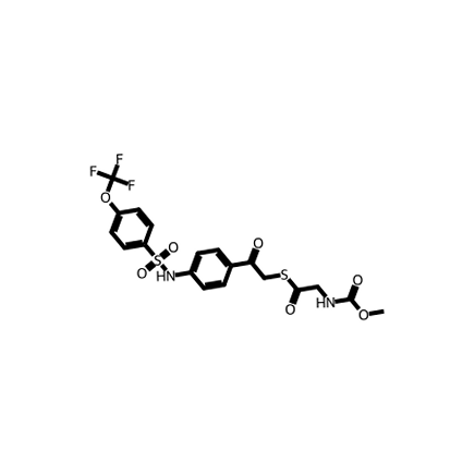 COC(=O)NCC(=O)SCC(=O)c1ccc(NS(=O)(=O)c2ccc(OC(F)(F)F)cc2)cc1